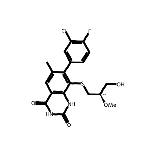 CO[C@H](CO)CSc1c(-c2ccc(F)c(Cl)c2)c(C)cc2c(=O)[nH]c(=O)[nH]c12